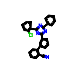 N#Cc1ccccc1-c1cccc(-c2nc(-c3ccccc3)nc(-c3ccccc3Cl)n2)c1